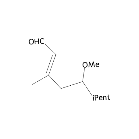 CCCC(C)C(CC(C)=CC=O)OC